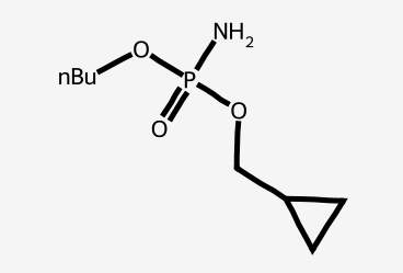 CCCCOP(N)(=O)OCC1CC1